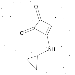 O=c1[c]c(NC2CC2)c1=O